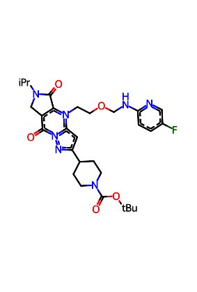 CC(C)N1Cc2c(n(CCOCNc3ccc(F)cn3)c3cc(C4CCN(C(=O)OC(C)(C)C)CC4)nn3c2=O)C1=O